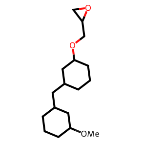 COC1CCCC(CC2CCCC(OCC3CO3)C2)C1